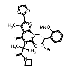 COc1ccccc1[C@@H](Cn1c(=O)n(C(C)(C)C(=O)N2CCC2)c(=O)c2c(C)c(-c3ncco3)sc21)OC(C)C